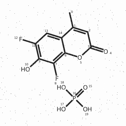 Cc1cc(=O)oc2c(F)c(O)c(F)cc12.O=P(O)(O)O